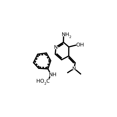 CN(C)C=C1C=CN=C(N)C1O.O=C(O)Nc1ccccc1